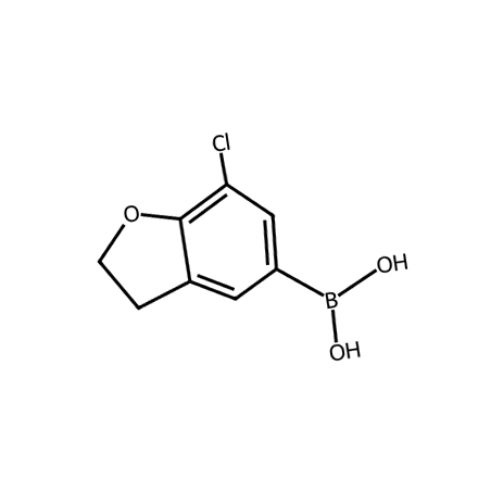 OB(O)c1cc(Cl)c2c(c1)CCO2